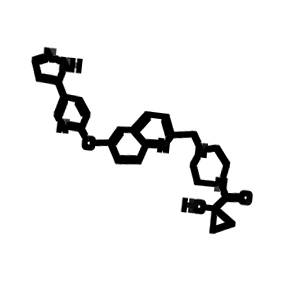 O=C(N1CCN(Cc2ccc3cc(Oc4ccc(-c5ccn[nH]5)cn4)ccc3n2)CC1)C1(O)CC1